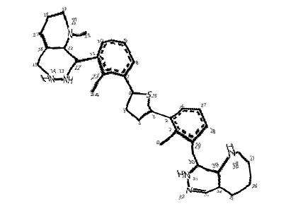 Cc1c(C2CCC(c3cccc(C4NNCC5CCCN(C)C54)c3C)S2)cccc1C1NN=CC2CCCNC21